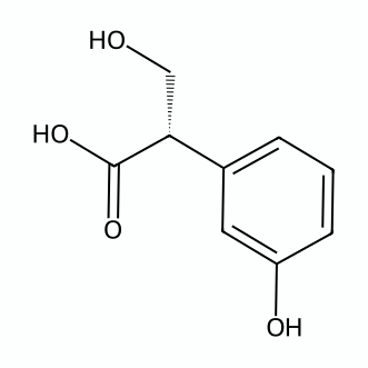 O=C(O)[C@H](CO)c1cccc(O)c1